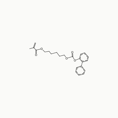 C=C(C)C(=O)OCCCCCCOC(=O)Oc1ccccc1-c1ccccc1